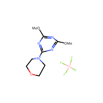 COc1nc(OC)nc([NH+]2CCOCC2)n1.F[B-](F)(F)F